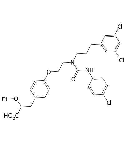 CCOC(Cc1ccc(OCCN(CCCc2cc(Cl)cc(Cl)c2)C(=O)Nc2ccc(Cl)cc2)cc1)C(=O)O